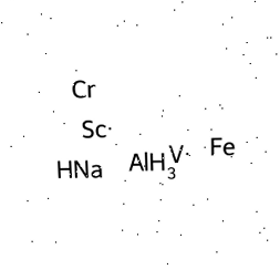 [AlH3].[Cr].[Fe].[NaH].[Sc].[V]